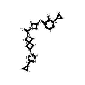 O=C(N1CC(Oc2cccc(C3CC3)c2Cl)C1)N1CC2(CC(n3cnc(C4CC4)n3)C2)C1